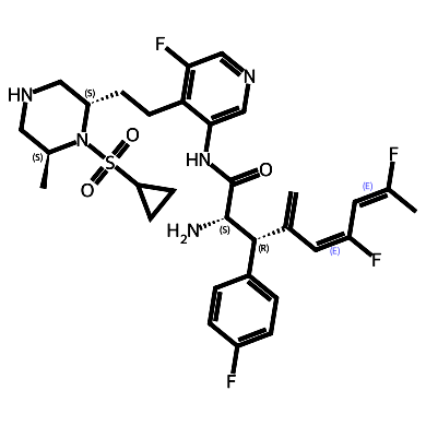 C=C(/C=C(F)\C=C(/C)F)[C@H](c1ccc(F)cc1)[C@H](N)C(=O)Nc1cncc(F)c1CC[C@H]1CNC[C@H](C)N1S(=O)(=O)C1CC1